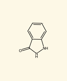 O=c1[nH][nH]c2c[c]ccc12